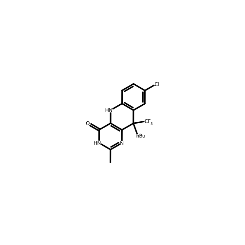 CCCCC1(C(F)(F)F)c2cc(Cl)ccc2Nc2c1nc(C)[nH]c2=O